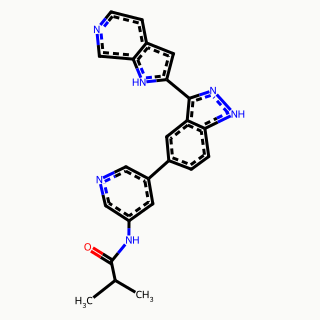 CC(C)C(=O)Nc1cncc(-c2ccc3[nH]nc(-c4cc5ccncc5[nH]4)c3c2)c1